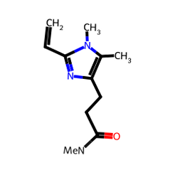 C=Cc1nc(CCC(=O)NC)c(C)n1C